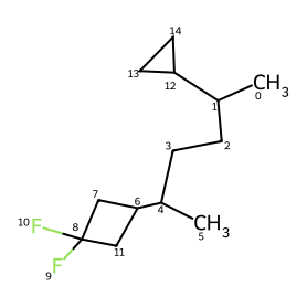 CC(CCC(C)C1CC(F)(F)C1)C1CC1